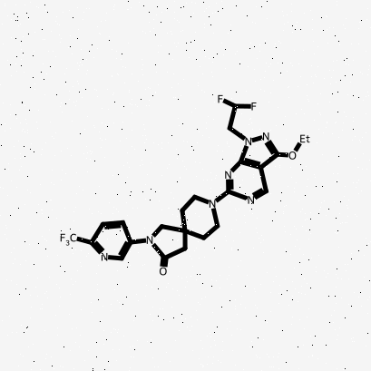 CCOc1nn(CC(F)F)c2nc(N3CCC4(CC3)CC(=O)N(c3ccc(C(F)(F)F)nc3)C4)ncc12